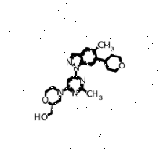 Cc1nc(N2CCO[C@H](CO)C2)cc(-n2ncc3cc(C)c(C4CCOCC4)cc32)n1